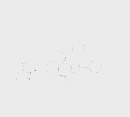 COC(NC(=O)OC1CCC(N(C(=O)C2CCC(C)CC2)c2cc(C3=CCCCC3)sc2C(=O)O)CC1)C(C)C